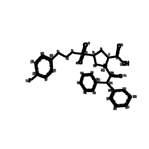 O=C(O)C1CC(S(=O)(=O)CCCc2ccc(F)cc2)CN1C(=O)C(c1ccccc1)c1ccccc1